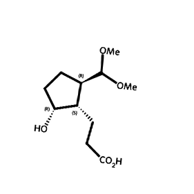 COC(OC)[C@@H]1CC[C@@H](O)[C@H]1CCC(=O)O